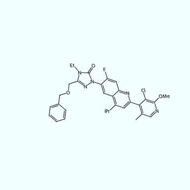 CCn1c(COCc2ccccc2)nn(-c2cc3c(C(C)C)cc(-c4c(C)cnc(OC)c4Cl)nc3cc2F)c1=O